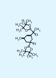 C=C1C=C(C(C)(CC)B2OC(C)(C)C(C)(C)O2)SC(CC)(B2OC(C)(C)C(C)(C)O2)C1